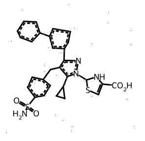 NS(=O)(=O)c1ccc(Cc2c(-c3cccc(-c4ccccc4)c3)nn(C3NC(C(=O)O)=CS3)c2C2CC2)cc1